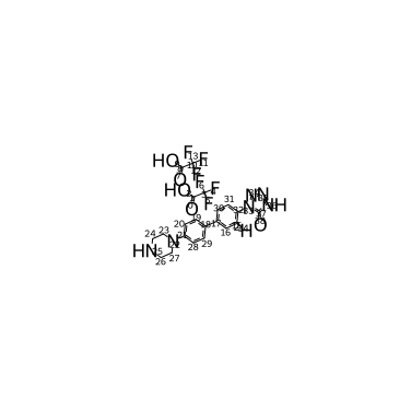 O=C(O)C(F)(F)F.O=C(O)C(F)(F)F.[2H]c1cc(-c2ccc(N3CCNCC3)cc2)ccc1-n1nn[nH]c1=O